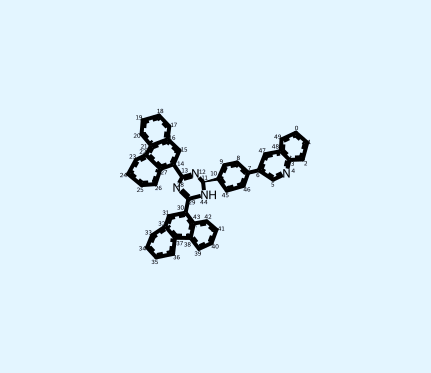 c1ccc2ncc(-c3ccc([C@@H]4N=C(c5cc6ccccc6c6ccccc56)N=C(c5cc6ccccc6c6ccccc56)N4)cc3)cc2c1